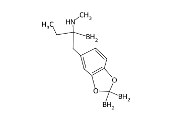 BC(CC)(Cc1ccc2c(c1)OC(B)(B)O2)NC